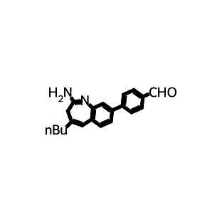 CCCCC1=Cc2ccc(-c3ccc(C=O)cc3)cc2N=C(N)C1